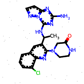 CC(Nc1nc(N)nc2ccnn12)c1cc2cccc(Cl)c2nc1N1CCNC(=O)C1